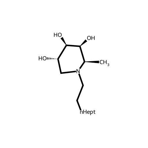 CCCCCCCCCN1C[C@H](O)[C@@H](O)[C@@H](O)[C@H]1C